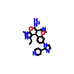 CCc1nn(C)c2c1C(c1ccc(-n3ccnc3-c3ccncc3)cc1OC)C(C#N)=C(N)O2